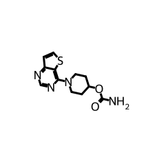 NC(=O)OC1CCN(c2ncnc3ccsc23)CC1